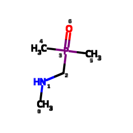 CNCP(C)(C)=O